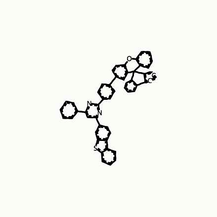 c1ccc(-c2cc(-c3ccc4c(c3)sc3ccccc34)nc(-c3ccc(-c4ccc5c(c4)C4(c6ccccc6O5)c5ccccc5-c5ccccc54)cc3)n2)cc1